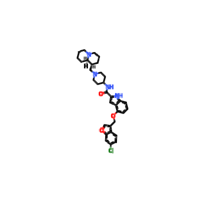 O=C(NC1CCN(C[C@@H]2CCCN3CCCC[C@H]23)CC1)c1cc2c(OCc3coc4cc(Cl)ccc34)cccc2[nH]1